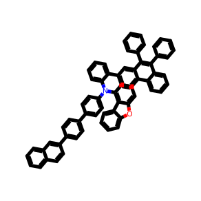 c1ccc(-c2c(-c3ccccc3)c3cc(-c4ccccc4N(c4ccc(-c5ccc(-c6ccc7ccccc7c6)cc5)cc4)c4cccc5oc6ccccc6c45)ccc3c3ccccc23)cc1